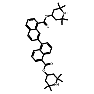 CC1(C)CC(OC(=O)c2cccc3ccc(-c4cccc5c(C(=O)OC6CC(C)(C)NC(C)(C)C6)cccc45)cc23)CC(C)(C)N1